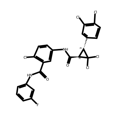 O=C(Nc1cccc(F)c1)c1cc(NC(=O)[C@H]2[C@H](c3ccc(Cl)c(Cl)c3)C2(Cl)Cl)ccc1Cl